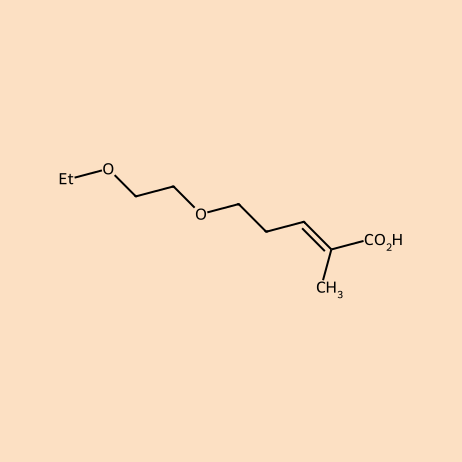 CCOCCOCCC=C(C)C(=O)O